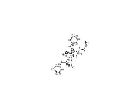 CC(C)(CCC#N)CN(C[C@@H](O)C(N)Cc1ccccc1)C(=O)OCc1ccccc1